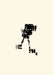 C#CC#CC#CC#CC#CC(=O)OC[C@H](COP(=O)(O)OC1C(O)[C@H](O)[C@H](OP(=O)(O)O)C(OP(=O)(O)O)[C@@H]1O)OC(=O)CCCCCCCCCCCCCCC